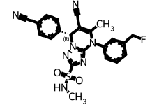 CNS(=O)(=O)c1nc2n(n1)[C@H](c1ccc(C#N)cc1)C(C#N)=C(C)N2c1cccc(CF)c1